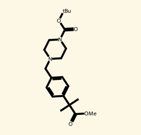 COC(=O)C(C)(C)c1ccc(CN2CCN(C(=O)OC(C)(C)C)CC2)cc1